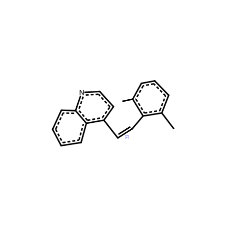 Cc1cccc(C)c1/C=C\c1ccnc2ccccc12